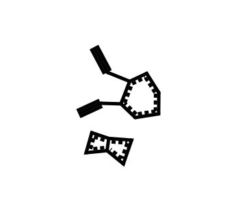 C#Cc1ccccc1C#C.c1cc2ccc1-2